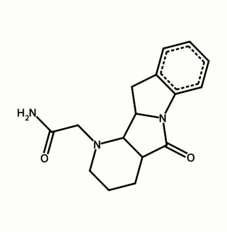 NC(=O)CN1CCCC2C(=O)N3c4ccccc4CC3C21